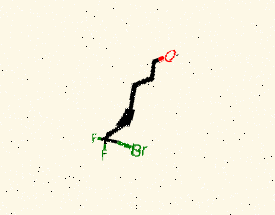 [O]CCCC#CC(F)(F)Br